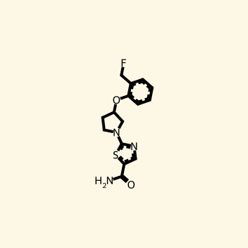 NC(=O)c1cnc(N2CCC(Oc3ccccc3CF)C2)s1